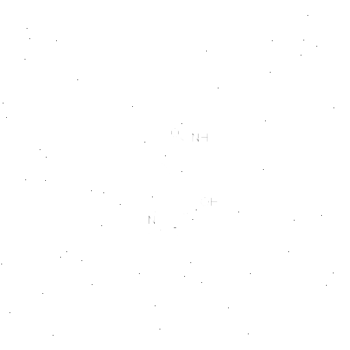 C=CCN1C2CCC(CC(c3ccc(C(=O)NC4CCCC4)cc3)c3cccc(O)c3)C1CCC2C